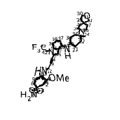 COc1cc(S(N)(=O)=O)ccc1NCC#Cc1cc2c(NC3CCC(C)(N4CCC5(CCOC5)CC4)CC3)cccc2n1CC(F)(F)F